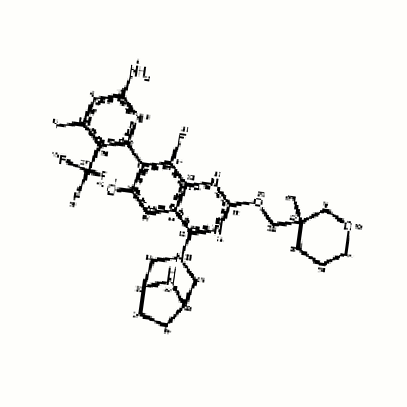 Cc1cc(N)nc(-c2c(Cl)cc3c(N4CC5CCC(C4)N5)nc(OCC4(C)CCCOC4)nc3c2F)c1C(F)(F)F